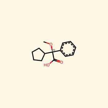 CO[C@](C(=O)O)(c1ccccc1)C1CCCC1